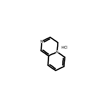 C1=CC2=CN=CCN2C=C1.Cl